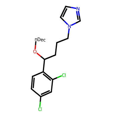 CCCCCCCCCCOC(CCCn1ccnc1)c1ccc(Cl)cc1Cl